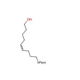 [CH2]CCCCCCC/C=C\CCCCO